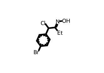 CC/C(=N\O)C(Cl)c1ccc(Br)cc1